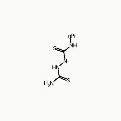 CCCNC(=S)[N]NC(N)=S